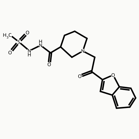 CS(=O)(=O)NNC(=O)C1CCCN(CC(=O)c2cc3ccccc3o2)C1